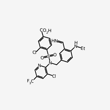 CCNc1ccc(CN(c2ncc(C(F)(F)F)cc2Cl)S(=O)(=O)c2ccc(C(=O)O)cc2Cl)cc1C=N